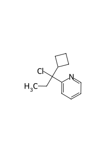 CCC(Cl)(c1ccccn1)C1CCC1